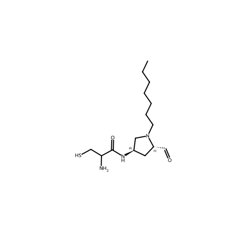 CCCCCCCN1C[C@H](NC(=O)C(N)CS)C[C@H]1C=O